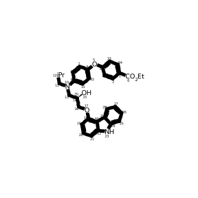 CCOC(=O)c1ccc(Oc2ccc(N(CC(C)C)C[C@H](O)COc3cccc4[nH]c5ccccc5c34)cc2)cc1